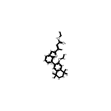 CCOC(=O)/C=C(\C)c1cc2cccc(-c3cc4c(cc3OCC)C(C)(C)CCC4(C)C)c2o1